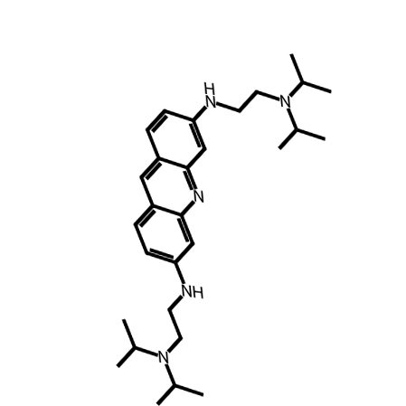 CC(C)N(CCNc1ccc2cc3ccc(NCCN(C(C)C)C(C)C)cc3nc2c1)C(C)C